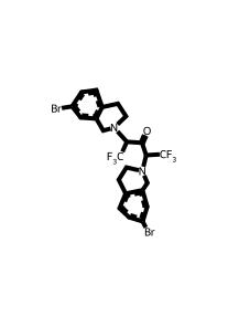 O=C(C(N1CCc2ccc(Br)cc2C1)C(F)(F)F)C(N1CCc2ccc(Br)cc2C1)C(F)(F)F